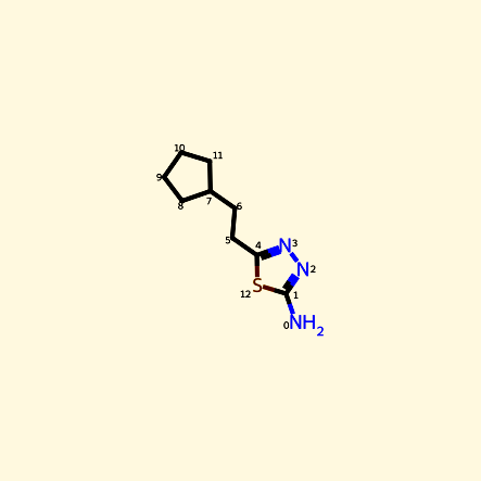 Nc1nnc(CCC2CCCC2)s1